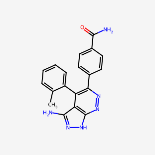 Cc1ccccc1-c1c(-c2ccc(C(N)=O)cc2)nnc2[nH]nc(N)c12